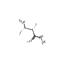 C[C@H](P)[C@H](C)C(=O)NO